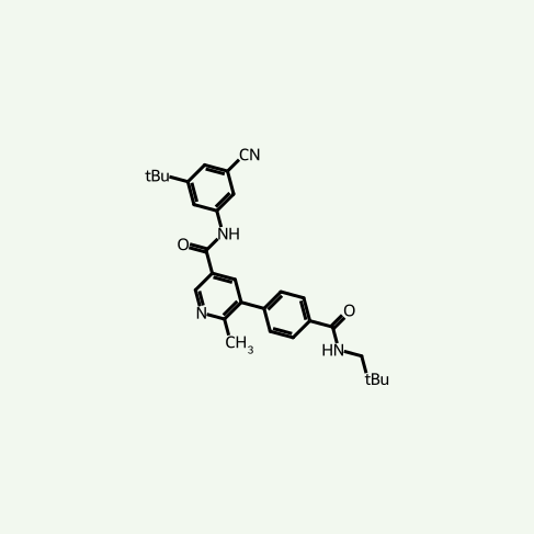 Cc1ncc(C(=O)Nc2cc(C#N)cc(C(C)(C)C)c2)cc1-c1ccc(C(=O)NCC(C)(C)C)cc1